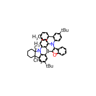 Cc1cc2c3c(c1)N1c4c(cc(C(C)(C)C)cc4C4(C)CCCCC14C)B3c1oc3ccccc3c1N2c1ccc(C(C)(C)C)cc1-c1ccccc1